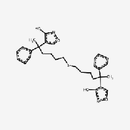 CC(CCCCSCCCCC(C)(c1ccccc1)c1conc1O)(c1ccccc1)c1conc1O